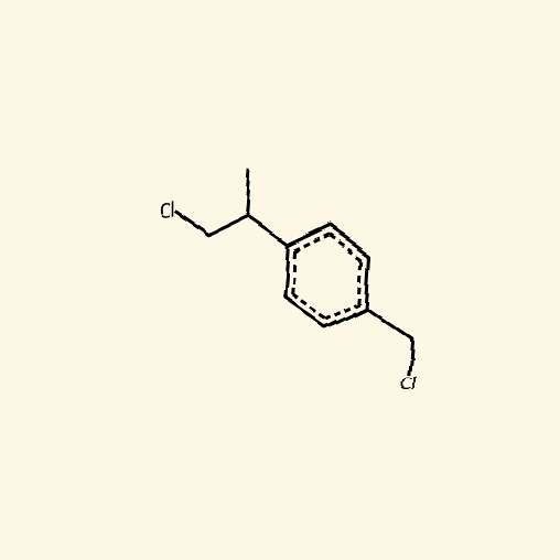 CC(CCl)c1ccc(CCl)cc1